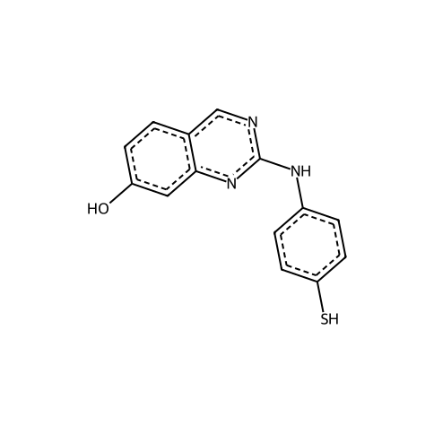 Oc1ccc2cnc(Nc3ccc(S)cc3)nc2c1